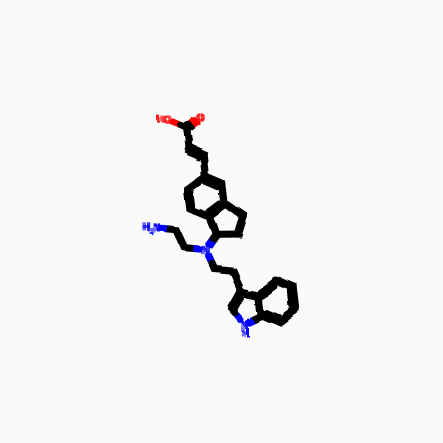 NCCN(CCc1c[nH]c2ccccc12)C1CCc2cc(/C=C/C(=O)O)ccc21